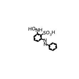 O=S(=O)(O)c1c(N=Nc2ccccc2)cccc1NO